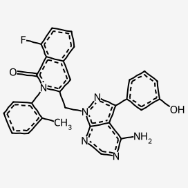 Cc1ccccc1-n1c(Cn2nc(-c3cccc(O)c3)c3c(N)ncnc32)cc2cccc(F)c2c1=O